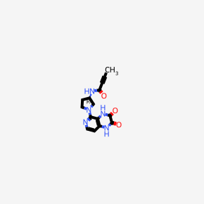 CC#CC(=O)N[C@@H]1CCN(c2nccc3[nH]c(=O)c(=O)[nH]c23)C1